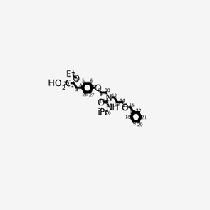 CCOC(Cc1ccc(OCCN(CCCOCc2ccccc2)C(=O)NC(C)C)cc1)C(=O)O